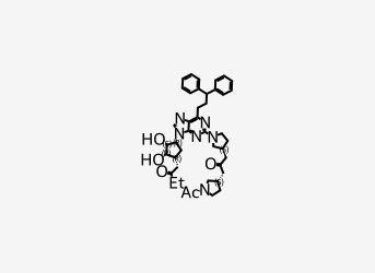 CCC(=O)C[C@H]1C[C@@H](n2cnc3c(CCC(c4ccccc4)c4ccccc4)nc(N4CC[C@@H](CC(=O)C[C@@H]5CCN(C(C)=O)C5)C4)nc32)[C@H](O)[C@@H]1O